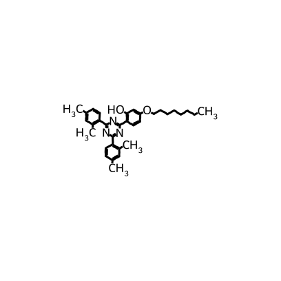 CCCCCCCCOc1ccc(-c2nc(-c3ccc(C)cc3C)nc(-c3ccc(C)cc3C)n2)c(O)c1